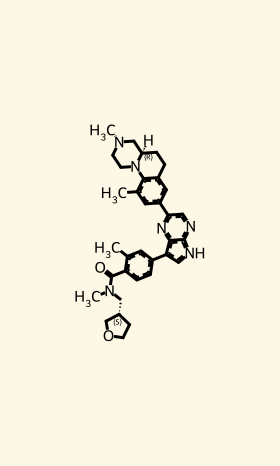 Cc1cc(-c2c[nH]c3ncc(-c4cc(C)c5c(c4)CC[C@@H]4CN(C)CCN54)nc23)ccc1C(=O)N(C)C[C@@H]1CCOC1